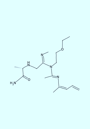 C=C/C=C(C)\N=C(/C)N(CCOCC)/C(CN[C@@H](C)C(N)=O)=N\C